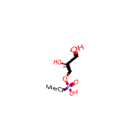 COP(=O)(O)OC[C@@H](O)CO